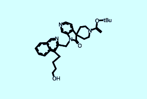 C=C(OC(C)(C)C)N1CCC2(CC1)C(=O)N(Cc1ncc3ccccc3c1CCCCO)c1cnccc12